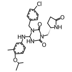 Cc1cc(NC2NC(=O)N(C[C@@H]3CCC(=O)N3)C(=O)N2Cc2ccc(Cl)cc2)ccc1OC(C)C